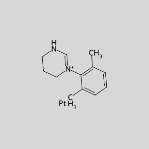 Cc1cccc(C)c1[N+]1=CNCCC1.[Pt]